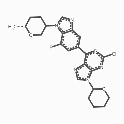 C[C@@H]1CCC(n2cnc3cc(-c4nc(Cl)nc5c4ncn5C4CCCCO4)cc(F)c32)CO1